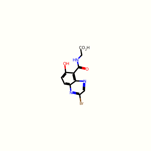 O=C(O)CNC(=O)c1c(O)ccc2nc(Br)cnc12